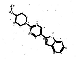 CCOC1CCN(c2ncc(-c3cc4ccccc4o3)cn2)CC1